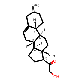 CC(=O)O[C@H]1CC[C@H]2C(=CC[C@@H]3[C@@H]2CC[C@]2(C)[C@@H](C(=O)CO)CC[C@@H]32)C1